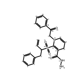 C=CC(Cc1ccccc1)S(=O)(=O)C1=C(C(=O)NN)CC=CN1CC(=O)c1ccccc1